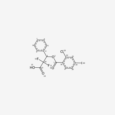 O=C(OC(c1ccccc1)C(F)(F)C(=O)O)c1ccc(I)cc1Cl